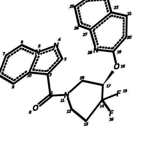 O=C(c1cnn2ccccc12)N1CCC(F)(F)[C@@H](Oc2ccc3ccccc3n2)C1